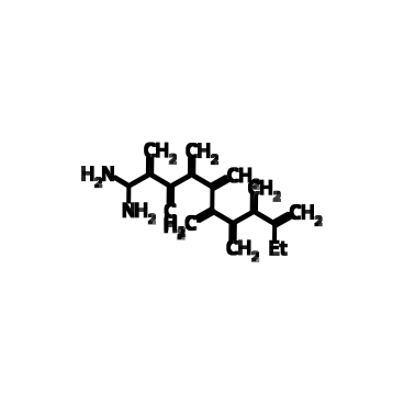 C=C(CC)C(=C)C(=C)C(=C)C(=C)C(=C)C(=C)C(=C)C(N)N